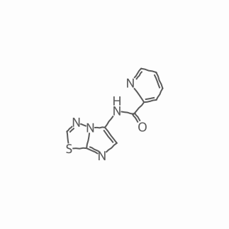 O=C(Nc1cnc2scnn12)c1ccccn1